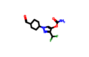 NC(=O)Oc1cn(C2CCC(C=O)CC2)nc1C(F)F